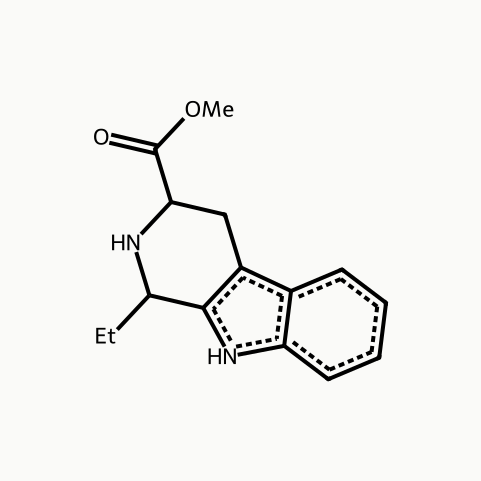 CCC1NC(C(=O)OC)Cc2c1[nH]c1ccccc21